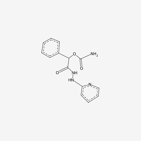 NC(=O)OC(C(=O)NNc1ccccn1)c1ccccc1